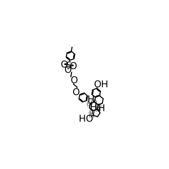 Cc1ccc(S(=O)(=O)OCCOCCOc2ccc([C@H]3C[C@]4(C)[C@@H](O)CC[C@H]4[C@@H]4CCc5cc(O)ccc5[C@H]43)cc2)cc1